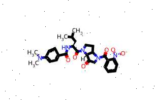 CC(C)C[C@H](NC(=O)c1ccc(N(C)C)cc1)C(=O)N1CCC2[C@H]1C(=O)CN2C(=O)c1ccccc1[N+](=O)[O-]